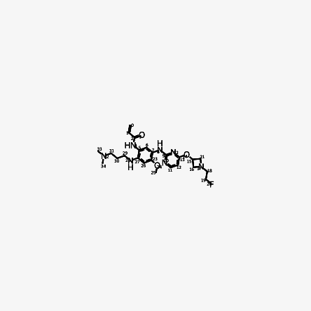 C=CC(=O)Nc1cc(Nc2nccc(OC3CN(CCF)C3)n2)c(OC)cc1NCCCN(C)C